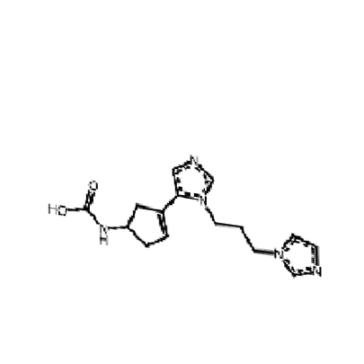 O=C(O)NC1CC=C(c2cncn2CCCn2ccnc2)C1